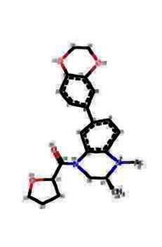 CC(=O)N1c2ccc(-c3ccc4c(c3)OCCO4)cc2N(C(=O)C2CCCO2)C[C@@H]1C